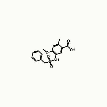 COc1cc(C)c(C(=O)O)cc1NS(=O)(=O)Cc1ccccc1